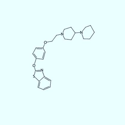 c1ccc2sc(Oc3ccc(OCCN4CCC(N5CCCCC5)CC4)cc3)nc2c1